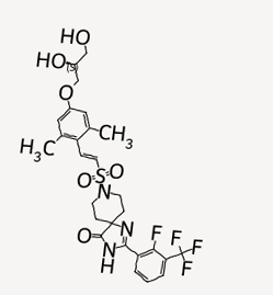 Cc1cc(OC[C@@H](O)CO)cc(C)c1C=CS(=O)(=O)N1CCC2(CC1)N=C(c1cccc(C(F)(F)F)c1F)NC2=O